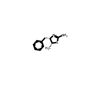 C[C@H]1SC(N)=N[C@H]1Cc1ccccc1